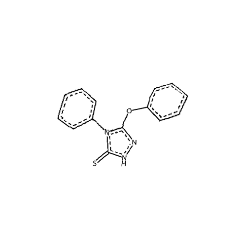 S=c1[nH]nc(Oc2ccccc2)n1-c1ccccc1